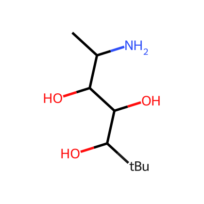 CC(N)C(O)C(O)C(O)C(C)(C)C